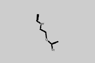 C=CNCCOC(C)CC